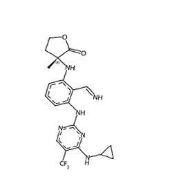 C[C@@]1(Nc2cccc(Nc3ncc(C(F)(F)F)c(NC4CC4)n3)c2C=N)CCOC1=O